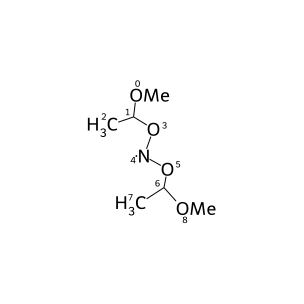 COC(C)O[N]OC(C)OC